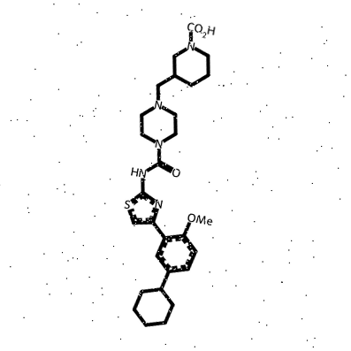 COc1ccc(C2CCCCC2)cc1-c1csc(NC(=O)N2CCN(CC3CCCN(C(=O)O)C3)CC2)n1